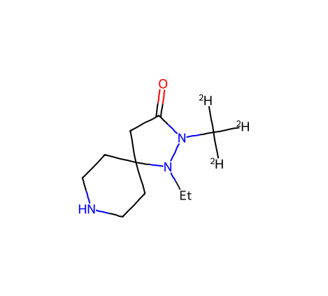 [2H]C([2H])([2H])N1C(=O)CC2(CCNCC2)N1CC